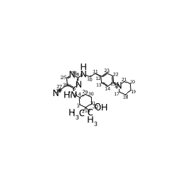 CC1(C)CC(Nc2nc(NCCc3ccc(N4CCCCC4)cc3)ncc2C#N)CC[C@@H]1O